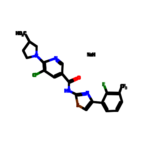 O=C(Nc1nc(-c2cccc(C(F)(F)F)c2F)cs1)c1cnc(N2CCC(C(=O)O)C2)c(Cl)c1.[NaH]